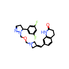 O=C1CCc2ccc(C=C3CN(COCN4N=CCC4c4cc(F)cc(F)c4)C3)cc2N1